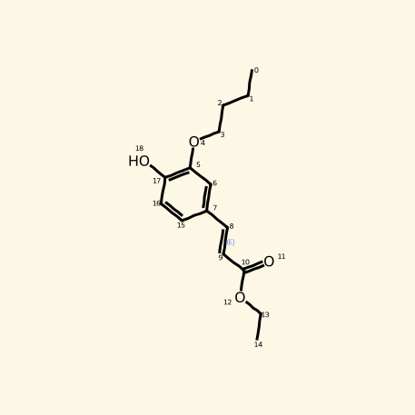 CCCCOc1cc(/C=C/C(=O)OCC)ccc1O